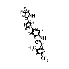 Cc1cc(C(F)(F)F)nn1CC(=O)Nc1cnc(-n2cnc(C3CC(F)(F)CN3)c2)c(F)c1